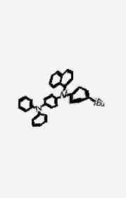 CCC(C)c1ccc(N(c2ccc(N(c3ccccc3)c3ccccc3)cc2)c2cccc3ccccc23)cc1